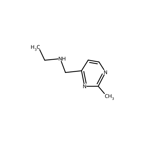 CCNCc1ccnc(C)n1